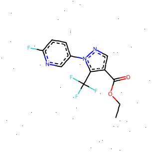 CCOC(=O)c1cnn(-c2ccc(F)nc2)c1C(F)(F)F